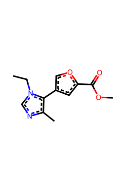 CCn1cnc(C)c1-c1coc(C(=O)OC)c1